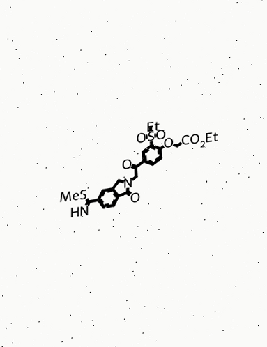 CCOC(=O)COc1ccc(C(=O)CN2Cc3cc(C(=N)SC)ccc3C2=O)cc1S(=O)(=O)CC